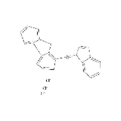 C1=C[CH]([Zr+3][c]2cccc3c2Cc2ccccc2-3)c2ccccc21.[Cl-].[Cl-].[Cl-]